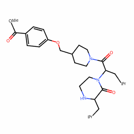 COC(=O)c1ccc(OCC2CCN(C(=O)C(CC(C)C)N3CCNC(CC(C)C)C3=O)CC2)cc1